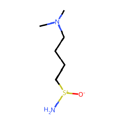 CN(C)CCCC[S+](N)[O-]